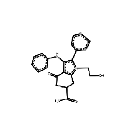 NC(=O)C1CC(=O)c2c(Nc3ccccc3)c(-c3ccncc3)n(CCO)c2C1